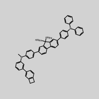 CCCCCCC1(CCCCCC)c2cc(-c3ccc(N(C)c4cccc(-c5ccc6c(c5)CC6)c4)cc3)ccc2-c2ccc(-c3ccc(N(c4ccccc4)c4ccccc4)cc3)cc21